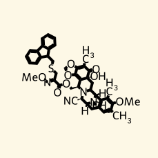 CO/N=C(\CSCC1c2ccccc2-c2ccccc21)C(=O)OC[C@H]1C2=C3OCOC3=C(C)C(=O)[C@@]2(O)CC2[C@@H]3c4c(cc(C)c(OC)c4C)C[C@H]([C@H](C#N)N21)N3C